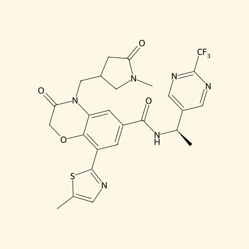 Cc1cnc(-c2cc(C(=O)N[C@H](C)c3cnc(C(F)(F)F)nc3)cc3c2OCC(=O)N3CC2CC(=O)N(C)C2)s1